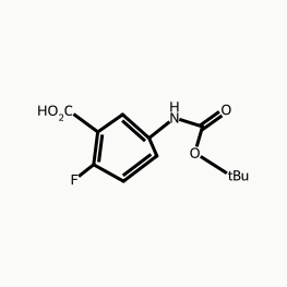 CC(C)(C)OC(=O)Nc1ccc(F)c(C(=O)O)c1